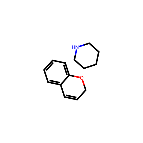 C1=Cc2ccccc2OC1.C1CCNCC1